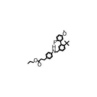 CCCOC(=O)CCc1ccc(NCc2ccc(C(C)(C)C)c(-c3cc(OC)ccc3F)c2)cc1